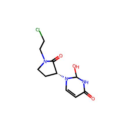 O=C1C=CN([C@@H]2CCN(CCCl)C2=O)C(O)N1